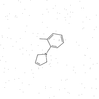 Cc1ccccc1N1CC=CC1